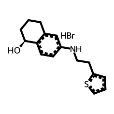 Br.O[C@H]1CCCc2cc(NCCc3cccs3)ccc21